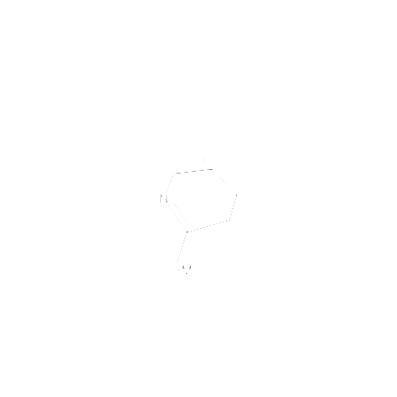 COC1=NC[C@H](C)CC1